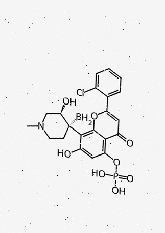 B[C@]1(c2c(O)cc(OP(=O)(O)O)c3c(=O)cc(-c4ccccc4Cl)oc23)CCN(C)C[C@H]1O